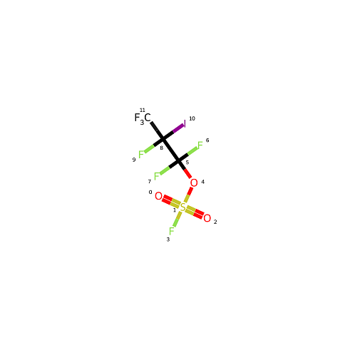 O=S(=O)(F)OC(F)(F)C(F)(I)C(F)(F)F